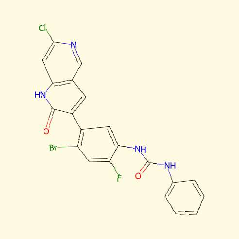 O=C(Nc1ccccc1)Nc1cc(-c2cc3cnc(Cl)cc3[nH]c2=O)c(Br)cc1F